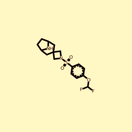 O=S(=O)(c1ccc(OC(F)F)cc1)N1CC2(CC3CCC(C2)N3)C1